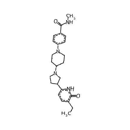 CCc1ccc(C2CCN(C3CCN(c4ccc(C(=O)NC)cc4)CC3)C2)[nH]c1=O